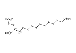 CCCCCCCCCCCCCCCCCCCCN[C@@H](CCC(=O)O)C(=O)O